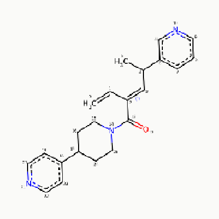 C=C/C(=C\C(C)c1cccnc1)C(=O)N1CCC(c2ccncc2)CC1